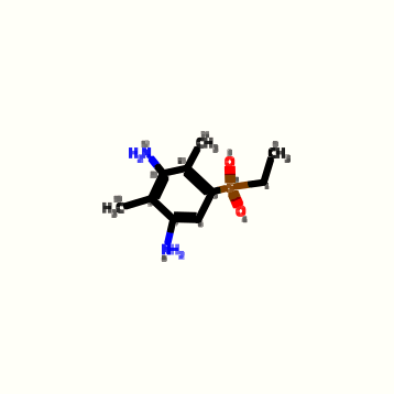 CCS(=O)(=O)c1cc(N)c(C)c(N)c1C